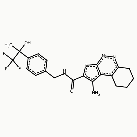 CC(O)(c1ccc(CNC(=O)c2sc3nnc4c(c3c2N)CCCC4)cc1)C(F)(F)F